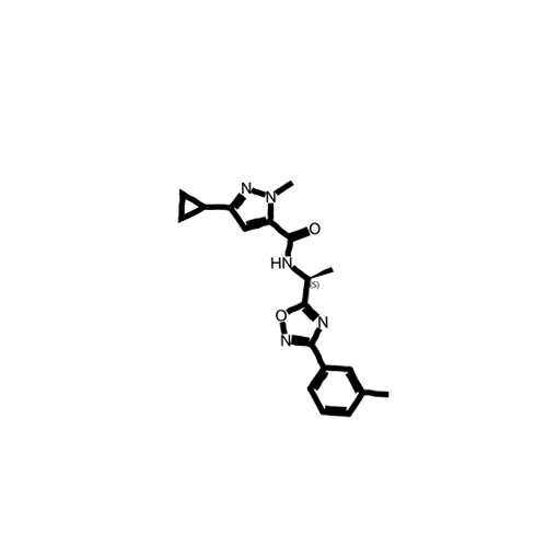 Cc1cccc(-c2noc([C@H](C)NC(=O)c3cc(C4CC4)nn3C)n2)c1